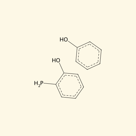 Oc1ccccc1.Oc1ccccc1P